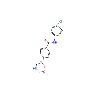 C[C@@H]1CNC[C@H](c2ccc(C(=O)Nc3ccc(Cl)cc3)cc2)O1